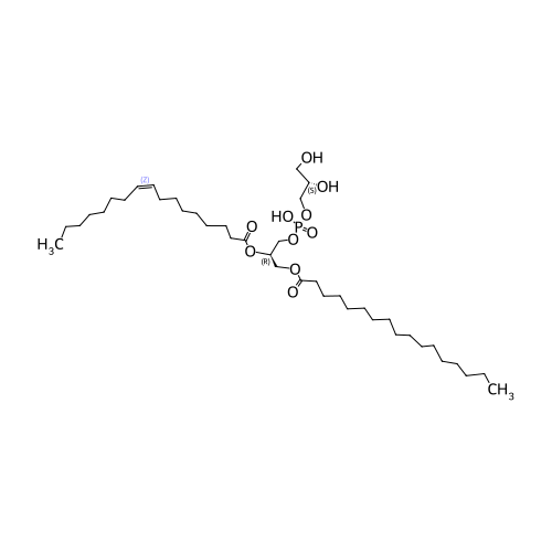 CCCCCCC/C=C\CCCCCCCC(=O)O[C@H](COC(=O)CCCCCCCCCCCCCCCC)COP(=O)(O)OC[C@@H](O)CO